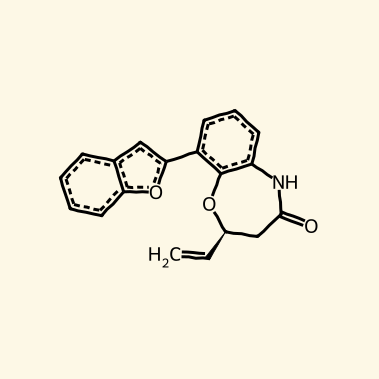 C=C[C@@H]1CC(=O)Nc2cccc(-c3cc4ccccc4o3)c2O1